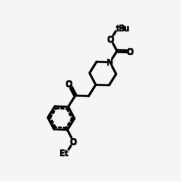 CCOc1cccc(C(=O)CC2CCN(C(=O)OC(C)(C)C)CC2)c1